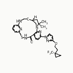 CC1(C)C[C@H]2CCNc3cccc(n3)SNC(=O)c3ccc(-n4ccc(OCCC5(C(F)(F)F)CC5)n4)nc3N1C2